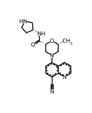 C[C@@H]1CN(c2ccc(C#N)c3ncccc23)C[C@H](C(=O)N[C@@H]2CCNC2)O1